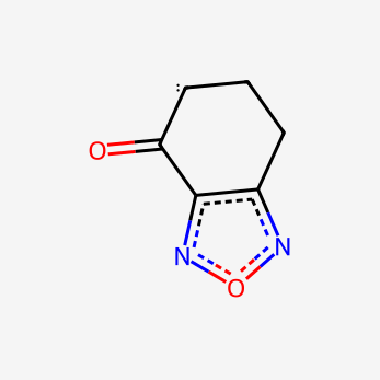 O=C1[C]CCc2nonc21